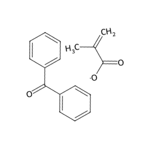 C=C(C)C([O])=O.O=C(c1ccccc1)c1ccccc1